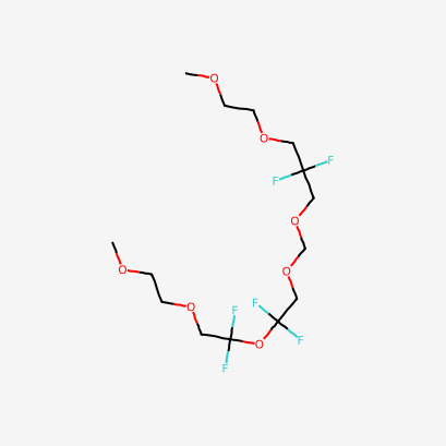 COCCOCC(F)(F)COCOCC(F)(F)OC(F)(F)COCCOC